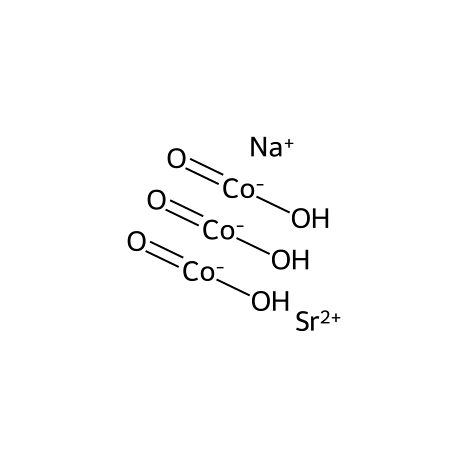 [Na+].[O]=[Co-][OH].[O]=[Co-][OH].[O]=[Co-][OH].[Sr+2]